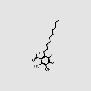 CCCCCCCCCCc1c(F)c(F)c(O)c(O)c1C(=O)O